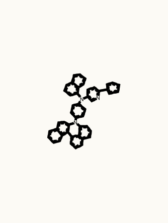 c1ccc(-c2ccc(N(c3ccc(N4c5ccc6ccccc6c5-c5cccc6cccc4c56)cc3)c3cccc4ccccc34)cn2)cc1